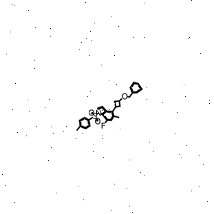 Cc1ccc(S(=O)(=O)n2ccc3c(C4CC(OCc5ccccc5)C4)c(C)cc(F)c32)cc1